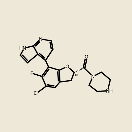 O=C([C@@H]1Cc2cc(Cl)c(F)c(-c3ccnc4[nH]ccc34)c2O1)N1CCNCC1